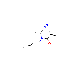 C=C(C)C(=O)N(CCCCCC)C(C)C#N